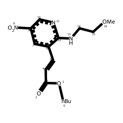 CCCCOC(=O)C=Cc1cc([N+](=O)[O-])cnc1NCCOC